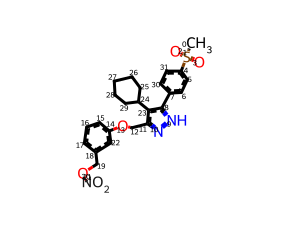 CS(=O)(=O)c1ccc(-c2[nH]nc(COc3cccc(CO[N+](=O)[O-])c3)c2C2CCCCC2)cc1